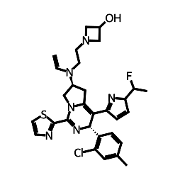 C=CN(CCN1CC(O)C1)[C@H]1CC2=C(C3=NC(C(C)F)C=C3)[C@H](c3ccc(C)cc3Cl)N=C(c3nccs3)N2C1